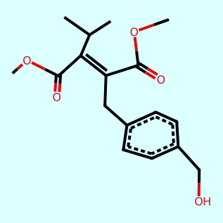 COC(=O)C(Cc1ccc(CO)cc1)=C(C(=O)OC)C(C)C